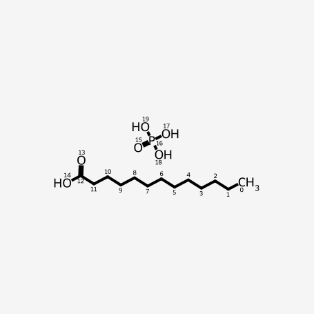 CCCCCCCCCCCCC(=O)O.O=P(O)(O)O